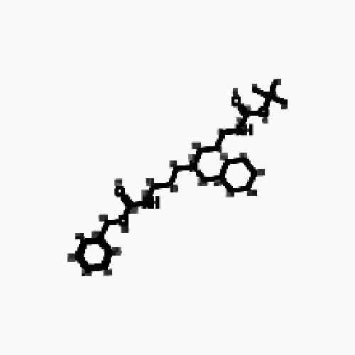 CC(C)(C)OC(=O)NCCCN(CCCNC(=O)OCc1ccccc1)CC1CCCCC1